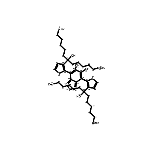 CCCCCCCCCCCCCCCC(O)(CCCCCCCCCCCCCCC)c1ccsc1-c1c(O)c(O)c(-c2sccc2C(O)(CCCCCCCCCCCCCCC)CCCCCCCCCCCCCCC)c2nsnc12